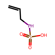 C=CCPS(=O)(=O)O